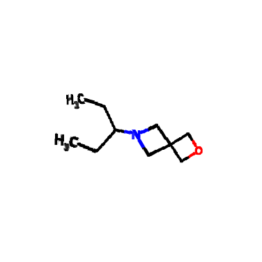 CCC(CC)N1CC2(COC2)C1